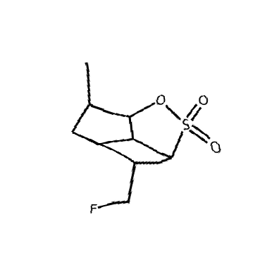 CC1C2CC3C1OS(=O)(=O)C3C2CF